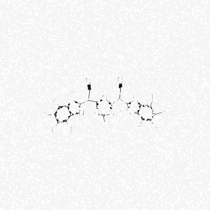 N#CC(c1nc(Cl)nc(C(C#N)c2nc3c(F)c(F)c(F)c(F)c3[nH]2)n1)c1nc2c(F)c(F)c(F)c(F)c2[nH]1